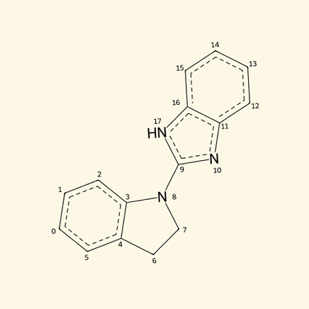 c1ccc2c(c1)CCN2c1nc2ccccc2[nH]1